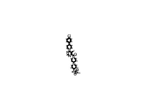 Cc1c(C(=O)N2CCC(N3CCC(N(C)S(C)(=O)=O)CC3)CC2)ncnc1N1CCC(c2ccc(Cl)cc2)CC1